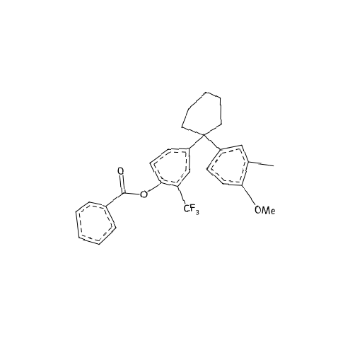 COc1ccc(C2(c3ccc(OC(=O)c4ccccc4)c(C(F)(F)F)c3)CCCCC2)cc1C